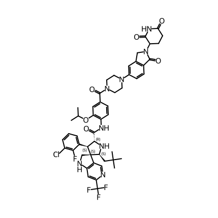 CC(C)Oc1cc(C(=O)N2CCN(c3ccc4c(c3)CN(C3CCC(=O)NC3=O)C4=O)CC2)ccc1NC(=O)[C@@H]1N[C@@H](CC(C)(C)C)[C@@]2(CNc3cc(C(F)(F)F)ncc32)[C@H]1c1cccc(Cl)c1F